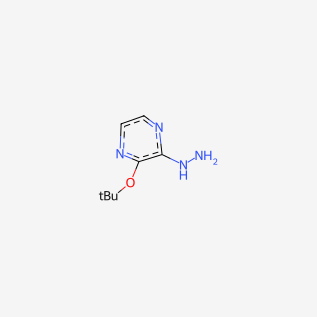 CC(C)(C)Oc1nccnc1NN